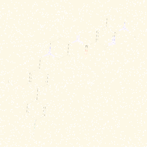 CCOc1cc(CN2CCC(NC(=O)c3cnc(N(C)C)c(C)c3)CC2)ccc1-c1ccc(F)cc1